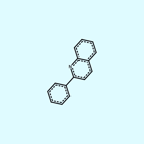 [c]1ccccc1-c1ccc2ccccc2n1